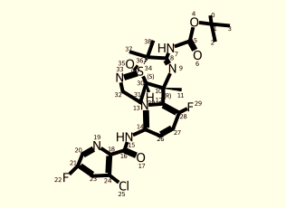 CC(C)(C)OC(=O)NC1=N[C@](C)(c2nc(NC(=O)c3ncc(F)cc3Cl)ccc2F)[C@@H]2CCN=[S@]2(=O)C1(C)C